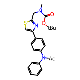 CC(=O)N(c1ccccc1)c1ccc(-c2csc(CN(C)C(=O)OC(C)(C)C)n2)cc1